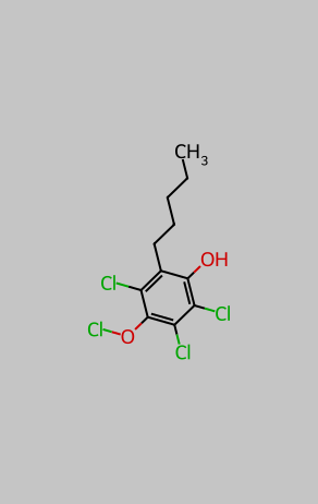 CCCCCc1c(O)c(Cl)c(Cl)c(OCl)c1Cl